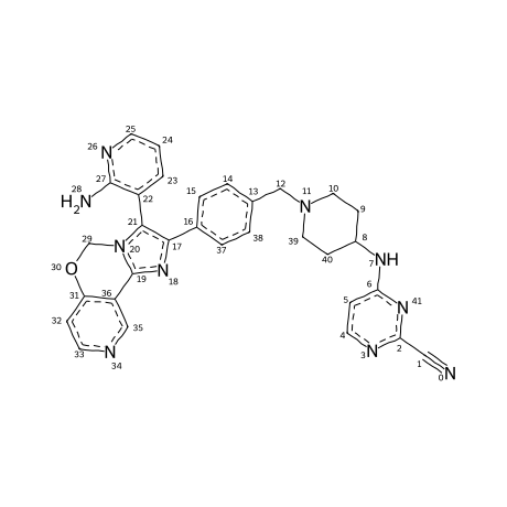 N#Cc1nccc(NC2CCN(Cc3ccc(-c4nc5n(c4-c4cccnc4N)COc4ccncc4-5)cc3)CC2)n1